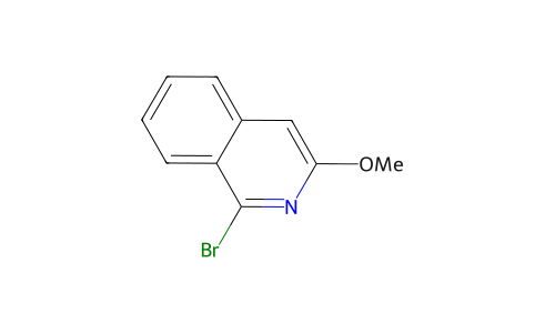 COc1cc2ccccc2c(Br)n1